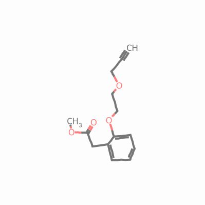 C#CCOCCOc1ccccc1CC(=O)OC